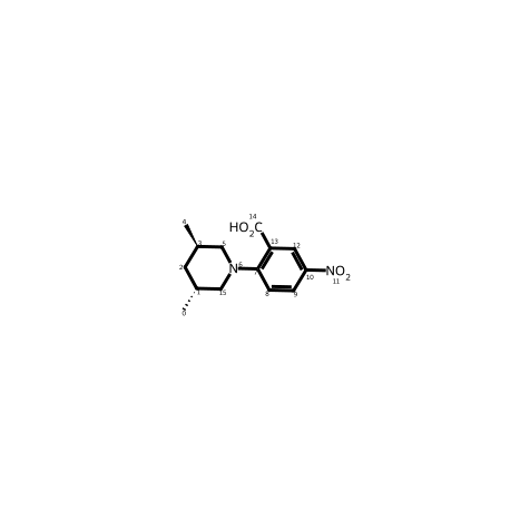 C[C@@H]1C[C@@H](C)CN(c2ccc([N+](=O)[O-])cc2C(=O)O)C1